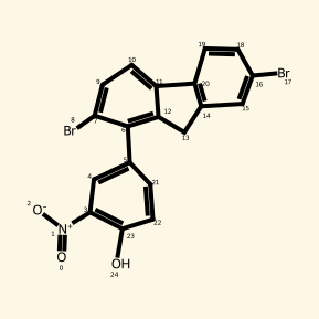 O=[N+]([O-])c1cc(-c2c(Br)ccc3c2Cc2cc(Br)ccc2-3)ccc1O